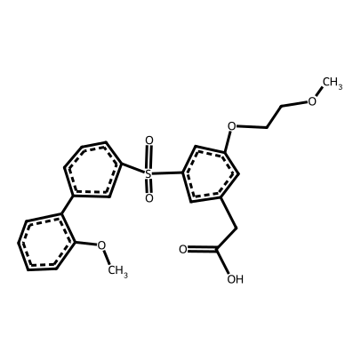 COCCOc1cc(CC(=O)O)cc(S(=O)(=O)c2cccc(-c3ccccc3OC)c2)c1